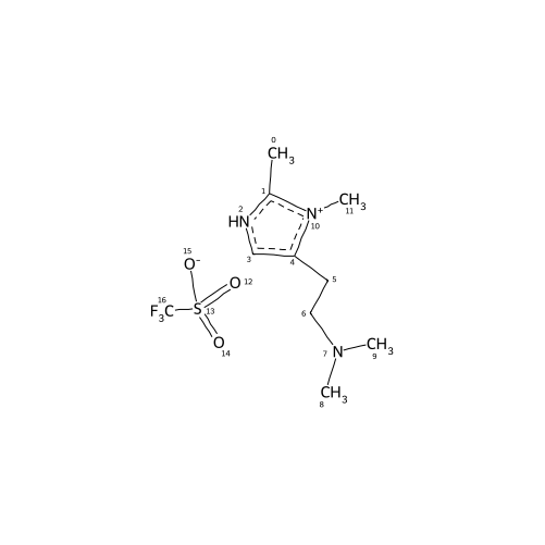 Cc1[nH]cc(CCN(C)C)[n+]1C.O=S(=O)([O-])C(F)(F)F